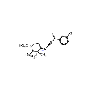 CC(C)(C)C1N(C(=O)O)CC/C(=C\C#CC(=O)c2cccc(Cl)c2)C1(C)C